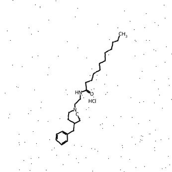 CCCCCCCCCCCC(=O)NCCN1CCC(Cc2ccccc2)CC1.Cl